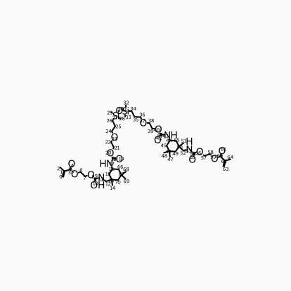 C=C(C)C(=O)OCCOC(=O)NCC1(C)CC(NC(=O)OCCOCCC[Si](C)(C)O[Si](C)(C)CCCOCCOC(=O)NC2CC(C)(C)CC(C)(CNC(=O)OCCOC(=O)C(=C)C)C2)CC(C)(C)C1